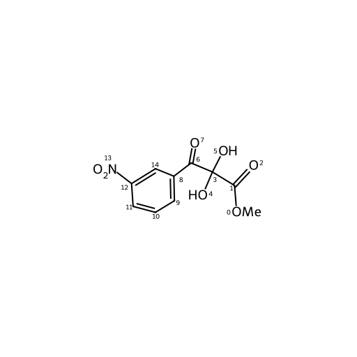 COC(=O)C(O)(O)C(=O)c1cccc([N+](=O)[O-])c1